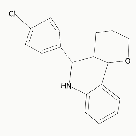 Clc1ccc(C2Nc3ccccc3C3OCCCC23)cc1